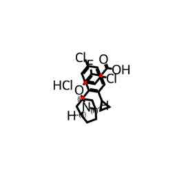 Cl.O=C(O)c1cc(C2CC2)c(CN2[C@@H]3CC[C@H]2C[C@@H](Oc2cc(Cl)cc(Cl)c2)C3)cc1F